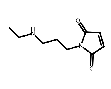 [CH2]CNCCCN1C(=O)C=CC1=O